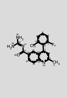 Cc1cc(-c2c(F)cccc2Cl)c2cc(C(=O)N=C(N)N)ccc2n1